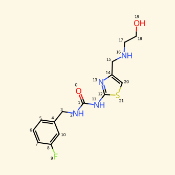 O=C(NCc1cccc(F)c1)Nc1nc(CNCCO)cs1